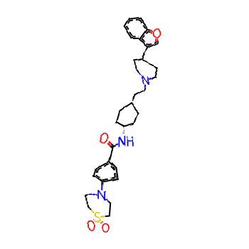 O=C(N[C@H]1CC[C@H](CCN2CCC(c3coc4ccccc34)CC2)CC1)c1ccc(N2CCS(=O)(=O)CC2)cc1